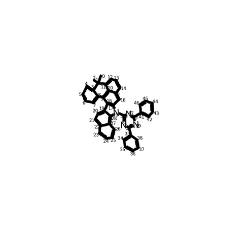 CC1(C)c2ccccc2-c2c3c1cccc3cc1c2c2ccc3ccccc3c2n1-c1nc(-c2ccccc2)nc(-c2ccccc2)n1